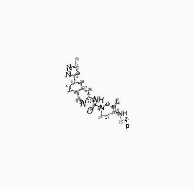 Cc1nnc(-c2ccc3cnc(NC(=O)N4CC[C@H](NCCF)[C@@H](F)C4)cc3c2)s1